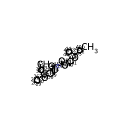 Cc1ccc(C(OC2CCN(OC(=O)/C=C/C(=O)ON3CCC(OC(c4ccccc4)c4ccc(C)cc4)CC3)CC2)c2ccccc2)cc1